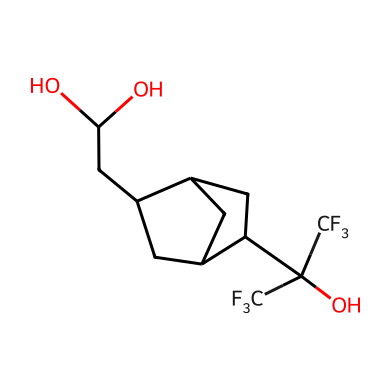 OC(O)CC1CC2CC1CC2C(O)(C(F)(F)F)C(F)(F)F